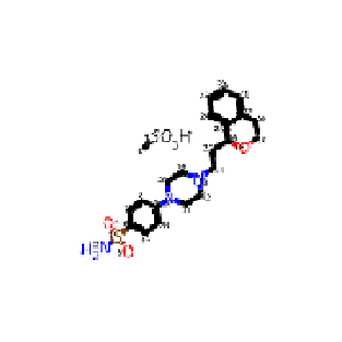 CS(=O)(=O)O.NS(=O)(=O)c1ccc(N2CCN(CCC3OCCc4ccccc43)CC2)cc1